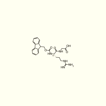 N=C(N)NCCC[C@H](NC(=O)OCC1c2ccccc2-c2ccccc21)C(=O)NCC(=O)O